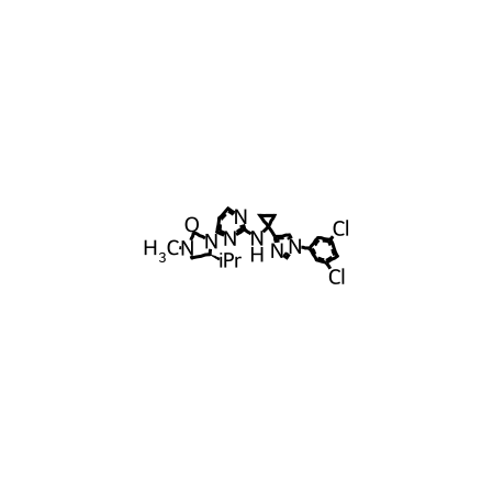 CC(C)[C@H]1CN(C)C(=O)N1c1ccnc(NC2(c3cn(-c4cc(Cl)cc(Cl)c4)cn3)CC2)n1